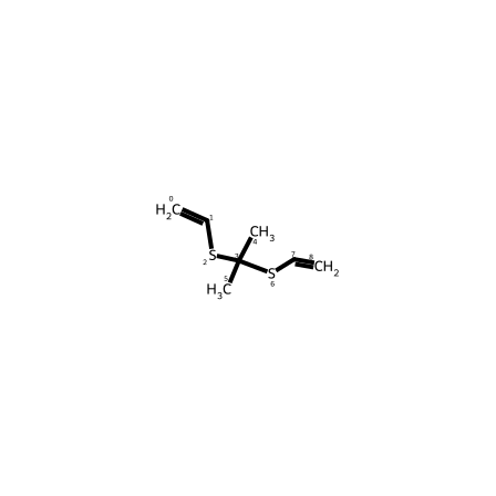 C=CSC(C)(C)SC=C